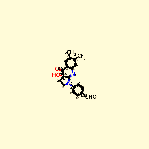 Cc1cc2c(cc1C(F)(F)F)N=C1N(c3ccc(C=O)cc3)CC[C@@]1(O)C2=O